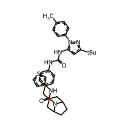 Cc1ccc(-n2nc(C(C)(C)C)cc2NC(=O)Nc2ccc(CC3CC4CCC(C3)N4C(=O)Nc3ccsc3)cc2)cc1